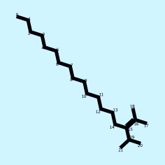 CCCCCCCCCCCCCCCC(=C(C)C)C(C)C